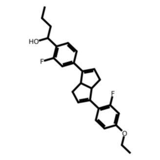 CCCC(O)c1ccc(C2=CCC3C(c4ccc(OCC)cc4F)=CCC23)cc1F